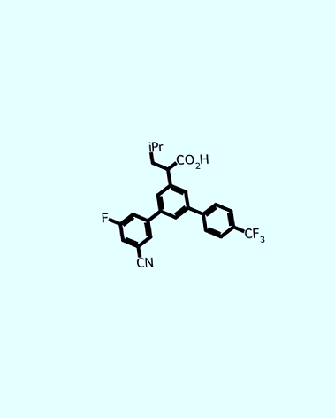 CC(C)CC(C(=O)O)c1cc(-c2ccc(C(F)(F)F)cc2)cc(-c2cc(F)cc(C#N)c2)c1